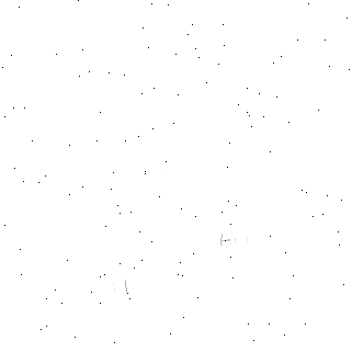 Cc1ccc(O)c(/C=C/c2ccccc2Cl)c1